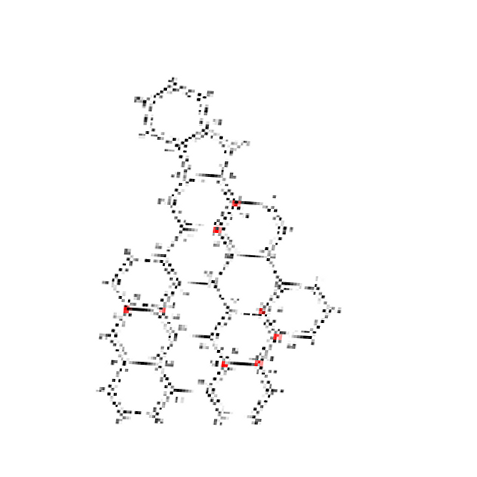 c1ccc(-c2ccccc2N(c2ccccc2-c2ccc3oc4ccccc4c3c2)c2ccccc2-c2cccc3cccc(-c4ccccc4)c23)cc1